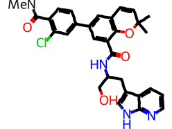 CNC(=O)c1ccc(-c2cc3c(c(C(=O)NC(CO)Cc4c[nH]c5ncccc45)c2)OC(C)(C)C=C3)cc1Cl